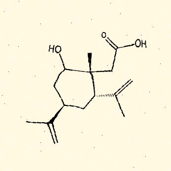 C=C(C)[C@H]1CC(O)[C@](C)(CC(=O)O)[C@H](C(=C)C)C1